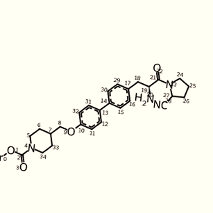 CC(C)OC(=O)N1CCC(COc2ccc(-c3ccc(C[C@H](N)C(=O)N4CCCC4C#N)cc3)cc2)CC1